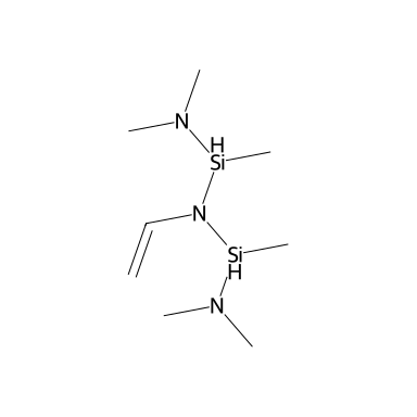 C=CN([SiH](C)N(C)C)[SiH](C)N(C)C